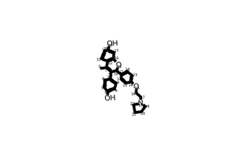 CC1=C(c2ccc(O)cc2)C(c2ccc(OCCN3CCCC3)cc2)Oc2cc(O)ccc21